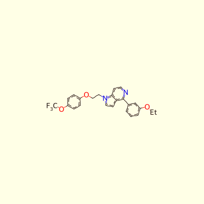 CCOc1cccc(-c2nccc3c2ccn3CCOc2ccc(OC(F)(F)F)cc2)c1